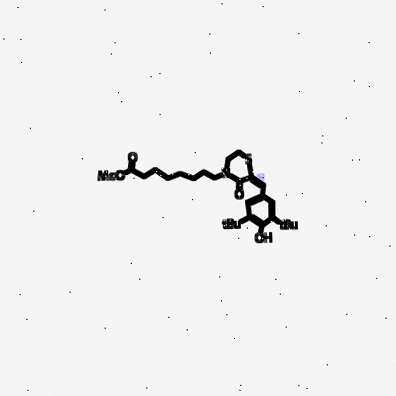 COC(=O)CCCCCCCN1CCS/C(=C/c2cc(C(C)(C)C)c(O)c(C(C)(C)C)c2)C1=O